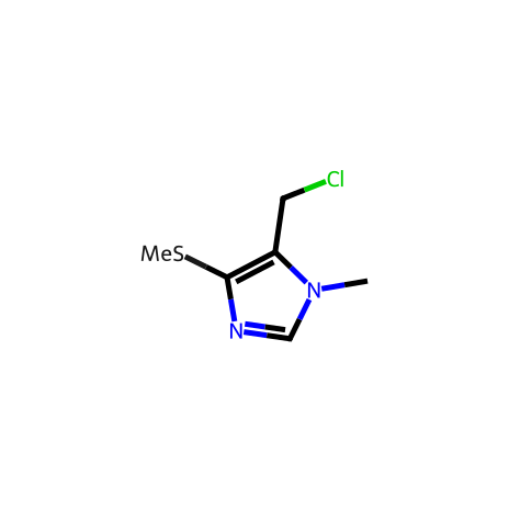 CSc1ncn(C)c1CCl